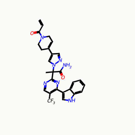 C=CC(=O)N1CC=C(c2cnn(C(C)(C(N)=O)c3ncc(C(F)(F)F)c(-c4c[nH]c5ccccc45)n3)c2)CC1